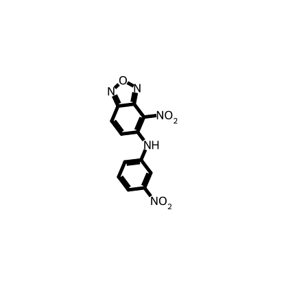 O=[N+]([O-])c1cccc(Nc2ccc3nonc3c2[N+](=O)[O-])c1